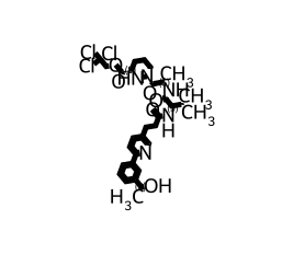 CC(C)[C@H](NC(=O)CCc1ccc(-c2cccc([C@@H](C)O)c2)nc1)C(=O)N[C@@H](C)C(=O)N1CCC[C@@H](C(=O)OCC(Cl)(Cl)Cl)N1